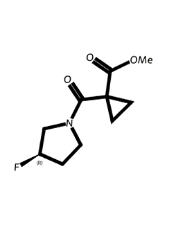 COC(=O)C1(C(=O)N2CC[C@@H](F)C2)CC1